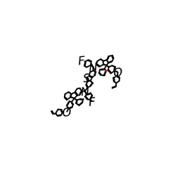 C=CC1C=CC(OC2=CCC(C3(c4ccccc4)c4ccccc4C4CCC(N(C5C=CC(F)=CC5)C5C=Cc6c(sc7cc(N(C8=CC9=C(CC8)C8=C(C=CCC8)C9(c8ccccc8)c8ccc(OC9=CCC(C=C)C=C9)cc8)c8ccc(F)cc8)ccc67)C5)=CC43)C=C2)=CC1